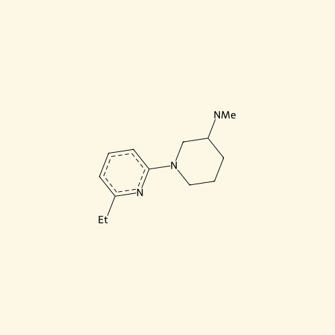 CCc1cccc(N2CCCC(NC)C2)n1